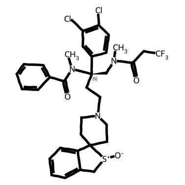 CN(C[C@](CCN1CCC2(CC1)c1ccccc1C[S+]2[O-])(c1ccc(Cl)c(Cl)c1)N(C)C(=O)c1ccccc1)C(=O)CC(F)(F)F